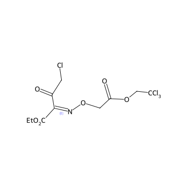 CCOC(=O)/C(=N/OCC(=O)OCC(Cl)(Cl)Cl)C(=O)CCl